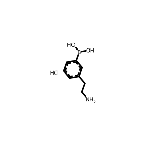 Cl.NCCc1cccc(B(O)O)c1